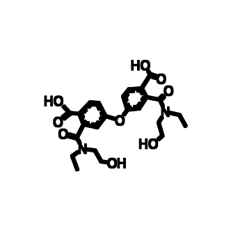 CCN(CCO)C(=O)c1cc(Oc2ccc(C(=O)O)c(C(=O)N(CC)CCO)c2)ccc1C(=O)O